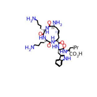 CC(C)C[C@H](NC(=O)[C@H](Cc1c[nH]c2ccccc12)NC(=O)[C@@H]1C/C=C/C[C@H](N)C(=O)N[C@@H](CCCCN)C(=O)N[C@@H](CCCCN)C(=O)N1)C(=O)O